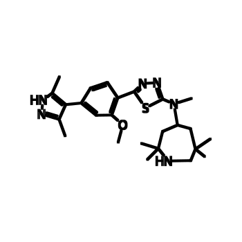 COc1cc(-c2c(C)n[nH]c2C)ccc1-c1nnc(N(C)C2CC(C)(C)CNC(C)(C)C2)s1